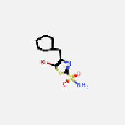 NS(=O)(=O)c1nc(CC2CCCCC2)c(Br)s1